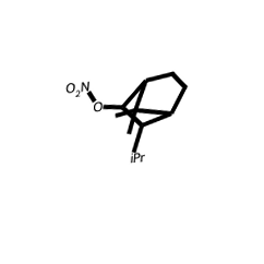 CC(C)C1C(O[N+](=O)[O-])C2CCC1C2(C)C